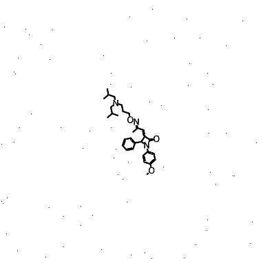 COc1ccc(N2C(=O)/C(=C/C(C)=N/OCCCN(CC(C)C)CC(C)C)C2c2ccccc2)cc1